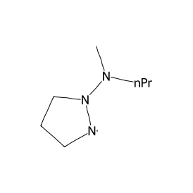 CCCN(C)N1CCC[N]1